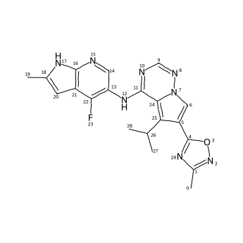 Cc1noc(-c2cn3ncnc(Nc4cnc5[nH]c(C)cc5c4F)c3c2C(C)C)n1